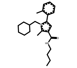 CCCCNC(=O)c1cc(-c2ccccc2C)n(CC2CCCCC2)c1C